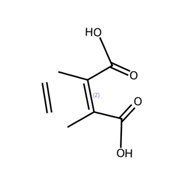 C/C(C(=O)O)=C(\C)C(=O)O.C=C